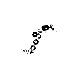 CCOC(=O)C(C)(C)N1CCN(c2ccc(N3CCN(C(=O)NC4C5CC6CC4CC(C(N)=O)(C6)C5)c4ccccc43)nc2)CC1